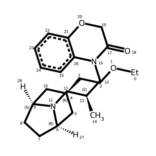 CCOCC[C@H]1C[C@H]2CC[C@@H](C1)N2C[C@H](C)CN1C(=O)COc2ccccc21